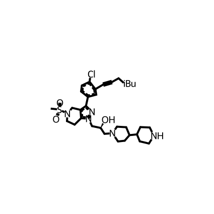 CCC(C)CC#Cc1cc(-c2nn(C[C@@H](O)CN3CCC(C4CCNCC4)CC3)c3c2CN(S(C)(=O)=O)CC3)ccc1Cl